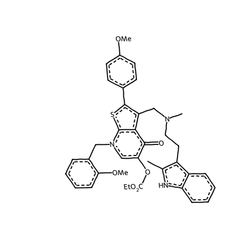 CCOC(=O)Oc1cn(Cc2ccccc2OC)c2sc(-c3ccc(OC)cc3)c(CN(C)CCc3c(C)[nH]c4ccccc34)c2c1=O